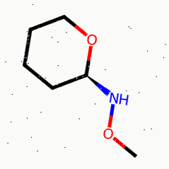 CON[C@H]1CCCCO1